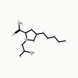 CCCCCC1CC(C(=O)O)N(CC(C)O)C1